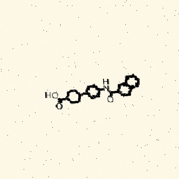 O=C(Nc1ccc(C2CCC(C(=O)O)CC2)cc1)c1ccc2ccccc2c1